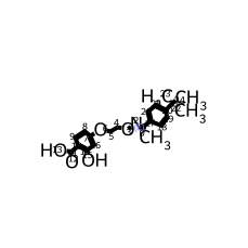 C/C(=N\OCCOc1ccc(C(=O)O)c(O)c1)c1ccc(C(C)(C)C)cc1